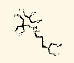 OCC(CO)(CO)CO.OCC(O)CO.OCCCC(CO)CO